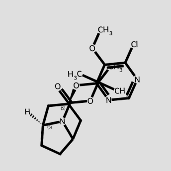 COc1c(Cl)ncnc1O[C@H]1CC2CC[C@@H](C1)N2C(=O)OC(C)(C)C